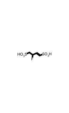 O=S(=O)(O)C=CC(F)CS(=O)(=O)O